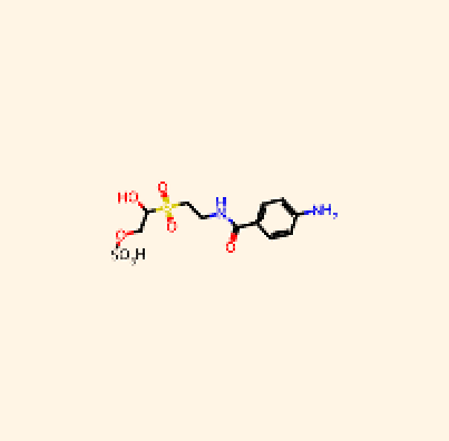 Nc1ccc(C(=O)NCCS(=O)(=O)C(O)COS(=O)(=O)O)cc1